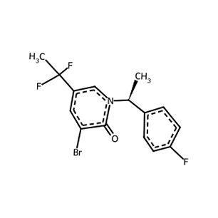 C[C@@H](c1ccc(F)cc1)n1cc(C(C)(F)F)cc(Br)c1=O